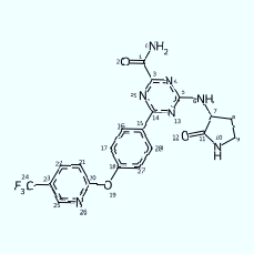 NC(=O)c1nc(NC2CCNC2=O)nc(-c2ccc(Oc3ccc(C(F)(F)F)cn3)cc2)n1